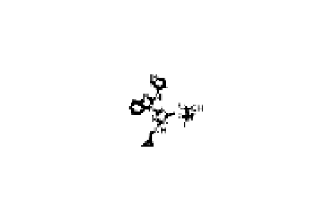 Cc1nc(NCC2CC2)nc(-n2c(Nc3cc[nH]n3)nc3ccccc32)n1.O=C(O)C(F)(F)F